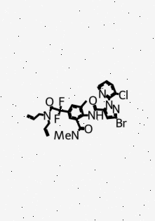 C=CCN(CC=C)C(=O)C(F)(F)c1cc(C)c(NC(=O)c2cc(Br)nn2-c2ncccc2Cl)c(C(=O)NC)c1